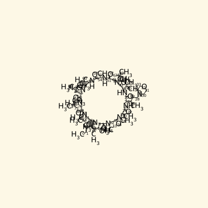 C/C=C/C[C@@H](C)[C@@H](O)[C@H]1C(=O)N[C@@H](CC)C(=O)N(C)[C@H](C)C(=O)N[C@@H]([C@H](C)CCN2CCOCC2)C(=O)N[C@@H](C(C)C)C(=O)N(C)[C@@H](CC(C)C)C(=O)N[C@@H](C)C(=O)N[C@H](C)C(=O)N(C)[C@@H](CC(C)C)C(=O)N(C)[C@@H](CC(C)C)C(=O)N(C)[C@@H](C(C)C)C(=O)N1C